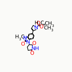 Cn1c(=O)n(C2CCC(=O)NC2=O)c2ccc(C3=CCN(C(=O)OC(C)(C)C)C3)cc21